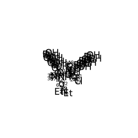 CCN(CC)Cc1ccc(CC(NC(=O)CCN(c2ccccc2)S(=O)(=O)c2ccc(Cl)c(C)c2Cl)C(=O)N2CCCC2)cc1.O=P(O)(O)F.O=P(O)(O)F.O=P(O)(O)F.O=P(O)(O)F.O=P(O)(O)F.O=P(O)(O)F